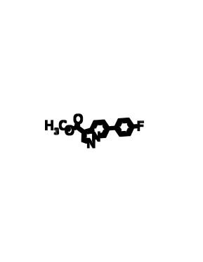 COC(=O)c1cnn2cc(-c3ccc(F)cc3)ccc12